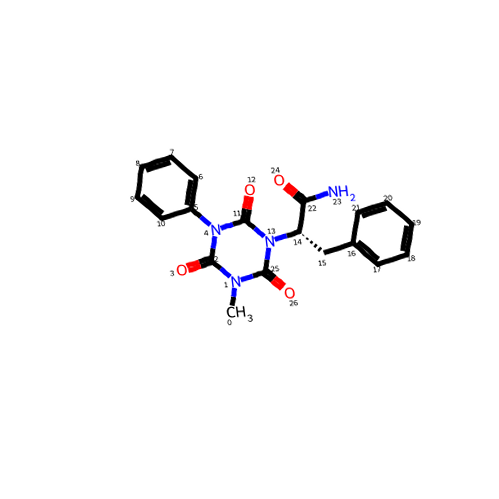 Cn1c(=O)n(-c2ccccc2)c(=O)n([C@@H](Cc2ccccc2)C(N)=O)c1=O